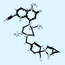 C[C@@H]1CN(c2cc(=O)n(C)c3ccc(C#N)nc23)[C@@H](C)CN1CC1=CCC(F)(N2C=C3C=C3O2)C=C1